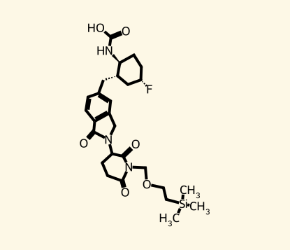 C[Si](C)(C)CCOCN1C(=O)CCC(N2Cc3cc(C[C@H]4C[C@@H](F)CC[C@@H]4NC(=O)O)ccc3C2=O)C1=O